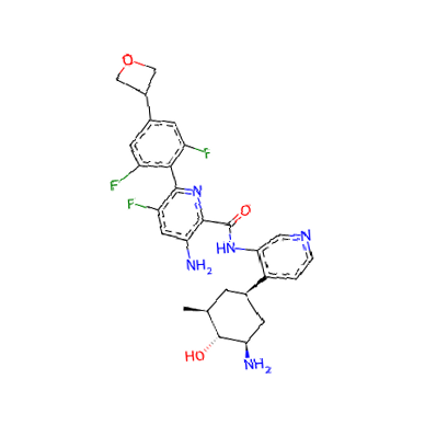 C[C@H]1C[C@@H](c2ccncc2NC(=O)c2nc(-c3c(F)cc(C4COC4)cc3F)c(F)cc2N)C[C@@H](N)[C@@H]1O